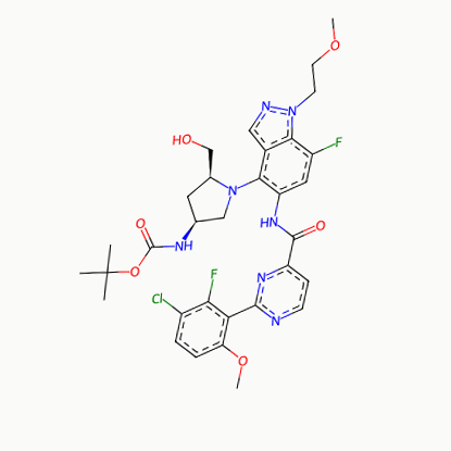 COCCn1ncc2c(N3C[C@@H](NC(=O)OC(C)(C)C)C[C@H]3CO)c(NC(=O)c3ccnc(-c4c(OC)ccc(Cl)c4F)n3)cc(F)c21